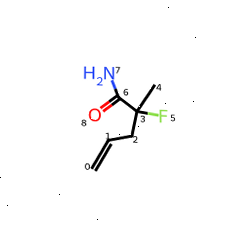 C=CCC(C)(F)C(N)=O